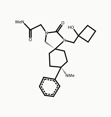 CNC(=O)CN1C[C@]2(CC[C@](NC)(c3ccccc3)CC2)N(CC2(O)CCC2)C1=O